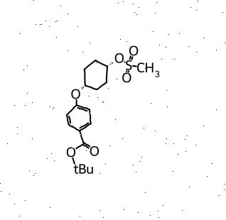 CC(C)(C)OC(=O)c1ccc(O[C@H]2CC[C@@H](OS(C)(=O)=O)CC2)cc1